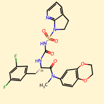 CN(C(=O)[C@H](Cc1cc(F)cc(F)c1)NC(=O)NS(=O)(=O)N1CCc2cccnc21)c1ccc2c(c1)OCCO2